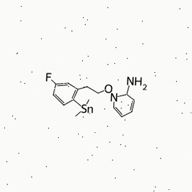 [CH3][Sn]([CH3])([CH3])[c]1ccc(F)cc1CCON1C=CC=CC1N